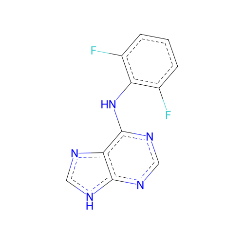 Fc1cccc(F)c1Nc1ncnc2[nH]cnc12